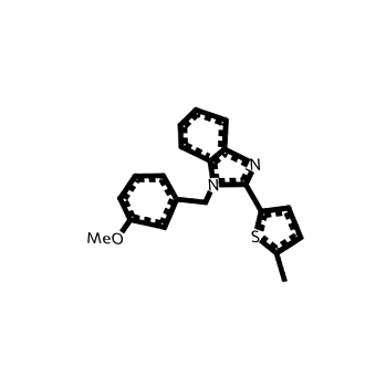 COc1cccc(Cn2c(-c3ccc(C)s3)nc3ccccc32)c1